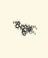 CN(C)S(=O)(=O)N(C)Cc1cc2nc(-c3cccc4[nH]ccc34)nc(N3CCOCC3)c2s1